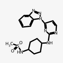 CS(=O)(=O)NC1CCC(Nc2nccc(-n3nnc4ccccc43)n2)CC1